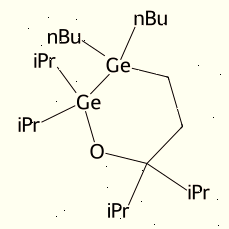 CCC[CH2][Ge]1([CH2]CCC)[CH2]CC(C(C)C)(C(C)C)[O][Ge]1([CH](C)C)[CH](C)C